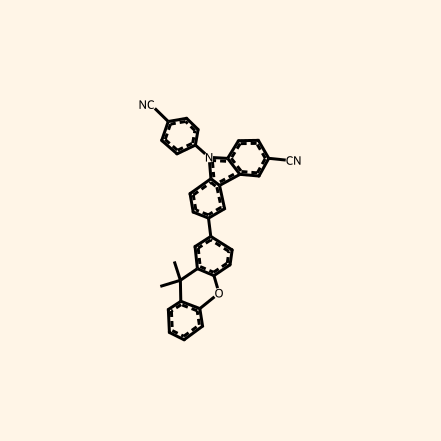 CC1(C)c2ccccc2Oc2ccc(-c3ccc4c(c3)c3cc(C#N)ccc3n4-c3ccc(C#N)cc3)cc21